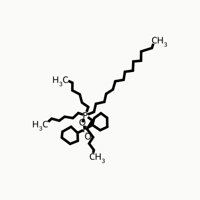 CCCCCCCCCCCCCCP(CCCCCC)(CCCCCC)(CCCCCC)OP(=O)(C1CCCCC1)C1CCCCC1